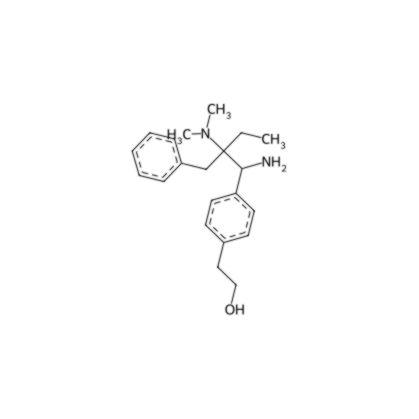 CCC(Cc1ccccc1)(C(N)c1ccc(CCO)cc1)N(C)C